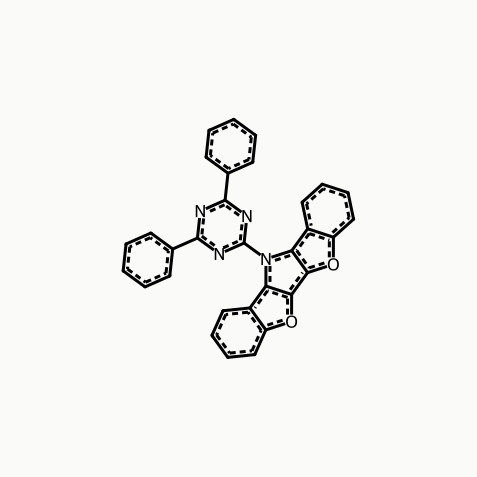 c1ccc(-c2nc(-c3ccccc3)nc(-n3c4c5ccccc5oc4c4oc5ccccc5c43)n2)cc1